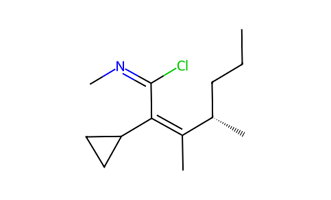 CCC[C@H](C)/C(C)=C(\C(Cl)=N/C)C1CC1